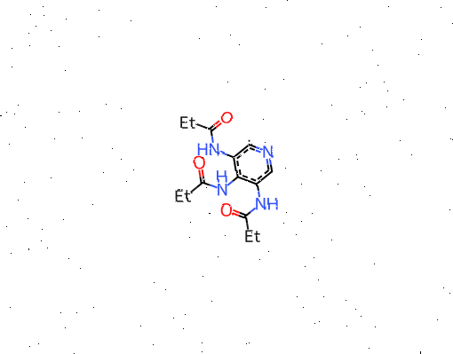 CCC(=O)Nc1[c]ncc(NC(=O)CC)c1NC(=O)CC